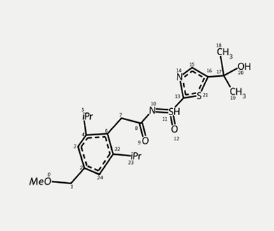 COCc1cc(C(C)C)c(CC(=O)/N=[SH](=O)/c2ncc(C(C)(C)O)s2)c(C(C)C)c1